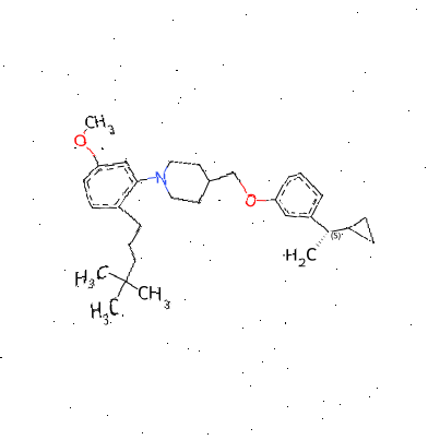 [CH2][C@H](c1cccc(OCC2CCN(c3cc(OC)ccc3CCCC(C)(C)C)CC2)c1)C1CC1